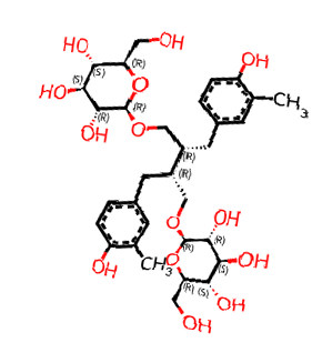 Cc1cc(C[C@@H](CO[C@@H]2O[C@H](CO)[C@@H](O)[C@H](O)[C@H]2O)[C@H](CO[C@@H]2O[C@H](CO)[C@@H](O)[C@H](O)[C@H]2O)Cc2ccc(O)c(C)c2)ccc1O